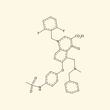 CCOC(=O)c1cn(Cc2c(F)cccc2F)c2ccc(Oc3ccc(NS(C)(=O)=O)cc3)c(CN(C)Cc3ccccc3)c2c1=O